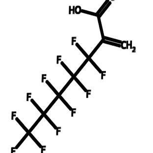 C=C(C(=O)O)C(F)(F)C(F)(F)C(F)(F)C(F)(F)C(F)(F)F